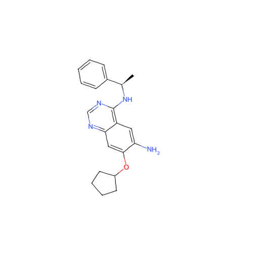 C[C@@H](Nc1ncnc2cc(OC3CCCC3)c(N)cc12)c1ccccc1